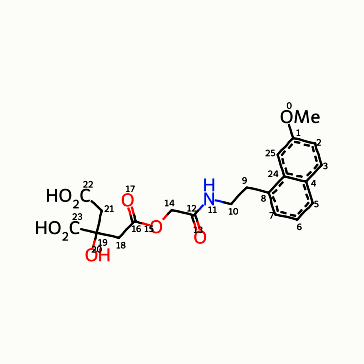 COc1ccc2cccc(CCNC(=O)COC(=O)CC(O)(CC(=O)O)C(=O)O)c2c1